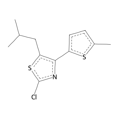 Cc1ccc(-c2nc(Cl)sc2CC(C)C)s1